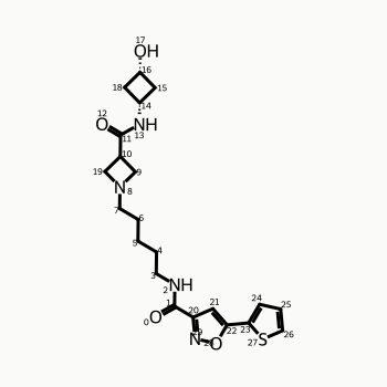 O=C(NCCCCCN1CC(C(=O)N[C@H]2C[C@@H](O)C2)C1)c1cc(-c2cccs2)on1